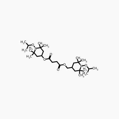 CC(C)ON1C(C)(C)CC(COC(=O)CCC(=O)OC2CC(C)(C)N(OC(C)C)C(C)(C)C2)CC1(C)C